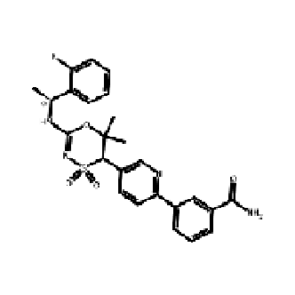 C[C@H](NC1=NS(=O)(=O)C(c2ccc(-c3cccc(C(N)=O)c3)nc2)C(C)(C)O1)c1ccccc1F